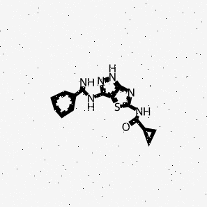 N=C(Nc1n[nH]c2nc(NC(=O)C3CC3)sc12)c1ccccc1